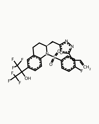 C=CCc1nnc(C[C@@H]2CCc3cc(C(O)(C(F)(F)F)C(F)(F)F)ccc3N2S(=O)(=O)c2ccc(F)cc2)o1